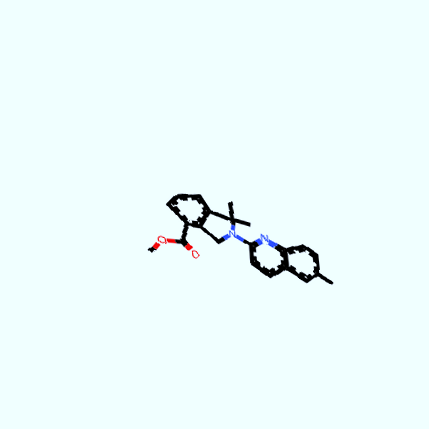 COC(=O)c1cccc2c1CN(c1ccc3cc(C)ccc3n1)C2(C)C